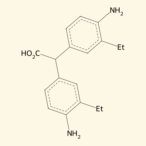 CCc1cc(C(C(=O)O)c2ccc(N)c(CC)c2)ccc1N